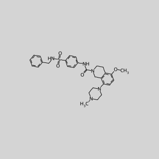 COc1ccc(N2CCN(C)CC2)c2c1CCN(C(=O)Nc1ccc(S(=O)(=O)NCc3ccccc3)cc1)C2